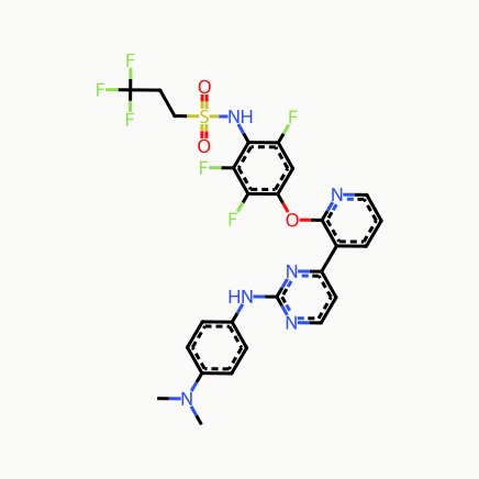 CN(C)c1ccc(Nc2nccc(-c3cccnc3Oc3cc(F)c(NS(=O)(=O)CCC(F)(F)F)c(F)c3F)n2)cc1